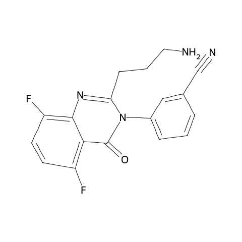 N#Cc1cccc(-n2c(CCCN)nc3c(F)ccc(F)c3c2=O)c1